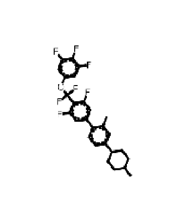 Cc1cc(C2CCC(C)CC2)ccc1-c1cc(F)c(C(F)(F)Oc2cc(F)c(F)c(F)c2)c(F)c1